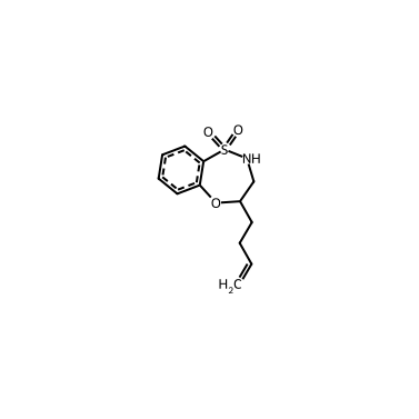 C=CCCC1CNS(=O)(=O)c2ccccc2O1